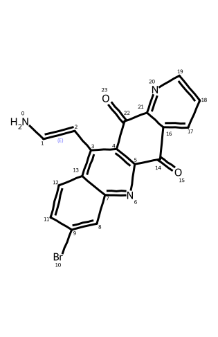 N/C=C/c1c2c(nc3cc(Br)ccc13)C(=O)c1cccnc1C2=O